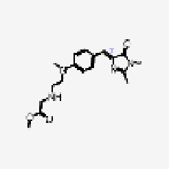 COC(=O)CNCCN(C)c1ccc(/C=C2\N=C(C)N(C)C2=O)cc1